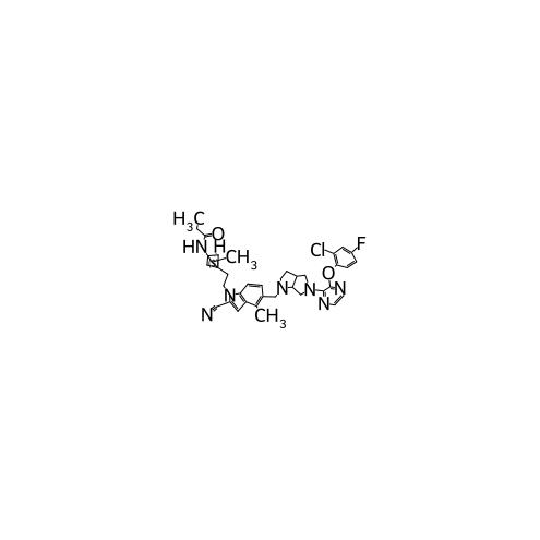 CCC(=O)NC12CC(CCn3c(C#N)cc4c(C)c(CN5CCC6CN(c7nccnc7Oc7ccc(F)cc7Cl)CC65)ccc43)(C1)[C@@H]2C